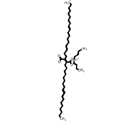 CCCCCCCCC=CCCCCCCCCC(C(=O)[O-])=C(CCCCCCCCC=CCCCCCCCC)C(=O)[O-].CCC[CH2][Sn+2][CH2]CCC